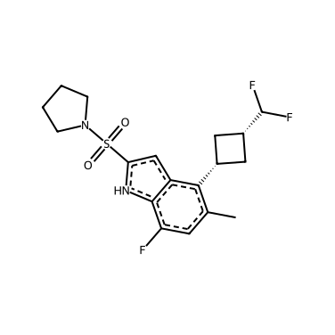 Cc1cc(F)c2[nH]c(S(=O)(=O)N3CCCC3)cc2c1[C@H]1C[C@@H](C(F)F)C1